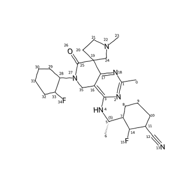 Cc1nc(N[C@@H](C)C2CCCC(C#N)C2F)c2c(n1)C1(CCN(C)C1)C(=O)N(C1CCCCC1F)C2